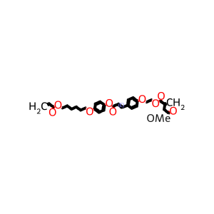 C=CC(=O)OCCCCCCOc1ccc(OC(=O)/C=C/c2ccc(OCCOC(=O)C(=C)CC(=O)OC)cc2)cc1